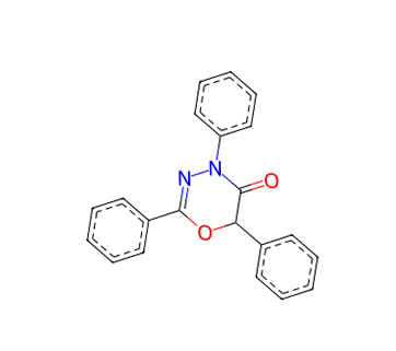 O=C1C(c2ccccc2)OC(c2ccccc2)=NN1c1ccccc1